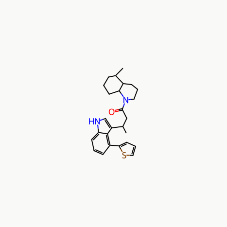 CC(CC(=O)N1CCCC2C(C)CCCC21)c1c[nH]c2cccc(-c3cccs3)c12